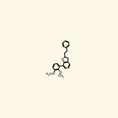 COc1cccc(-c2cccc3c2OC(CCc2ccccc2)C3)c1OC